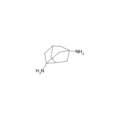 NC12CC3CC(C1)C(N)(C3)C2